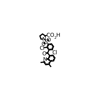 Cc1cc(C)c2cccc(C(=O)c3c(Cl)ccc(S(=O)(=O)N4CCCC4C(=O)O)c3Cl)c2n1